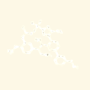 COc1ccc(/C(=C/N)N(N)c2cc(-c3cccc(SC)c3)ccc2-n2cc(C(F)(F)F)nc2C)cc1OC(F)F